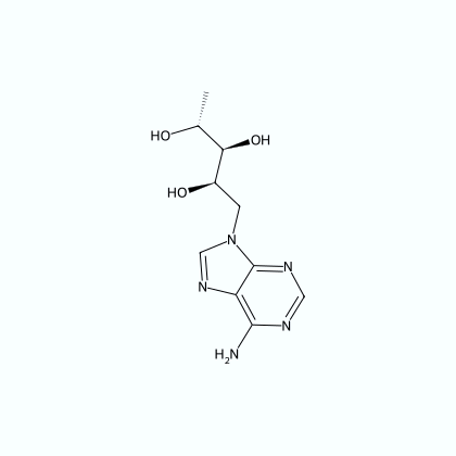 C[C@@H](O)[C@@H](O)[C@H](O)Cn1cnc2c(N)ncnc21